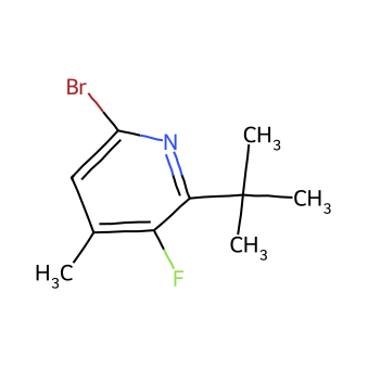 Cc1cc(Br)nc(C(C)(C)C)c1F